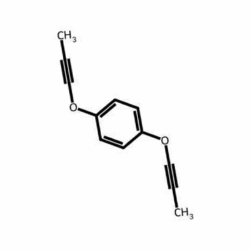 CC#COc1ccc(OC#CC)cc1